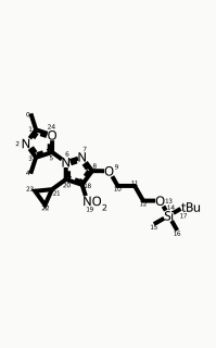 Cc1nc(C)c(-n2nc(OCCCO[Si](C)(C)C(C)(C)C)c([N+](=O)[O-])c2C2CC2)o1